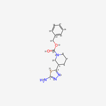 Nc1nnc(C2CCCN(C(=O)OCc3ccccc3)C2)s1